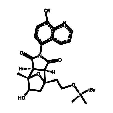 CC(C)(C)[Si](C)(C)OCC[C@@]12C[C@@H](O)[C@@](C)(O1)[C@H]1C(=O)N(c3ccc(C#N)c4ncccc34)C(=O)[C@H]12